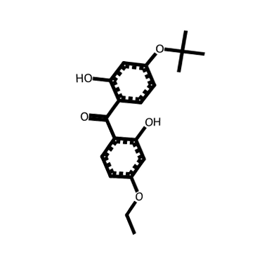 CCOc1ccc(C(=O)c2ccc(OC(C)(C)C)cc2O)c(O)c1